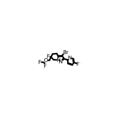 Fc1ccc(-c2nn3c(c2Br)CCC(F)(COC(F)F)C3)nc1